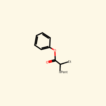 CCCCCC(CC)C(=O)Oc1ccccc1